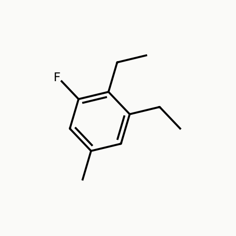 CCc1cc(C)cc(F)c1CC